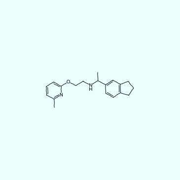 Cc1cccc(OCCNC(C)c2ccc3c(c2)CCC3)n1